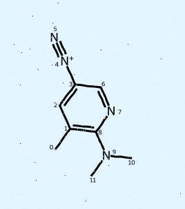 Cc1cc([N+]#N)cnc1N(C)C